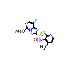 COc1ncc(F)c2nc(S(=O)(=O)Nc3c(C)ccnc3Cl)nn12